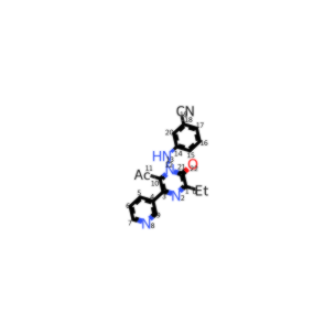 CCc1nc(-c2cccnc2)c(C(C)=O)n(Nc2cccc(C#N)c2)c1=O